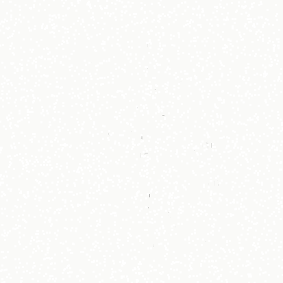 C=C(C)C(=O)OC(C(C)C)(C(C)CCC(=C)C(=O)OC(CC1CCCC1)C(O)(C(F)(F)F)C(F)(F)F)C(O)(C(F)(F)F)C(F)(F)F